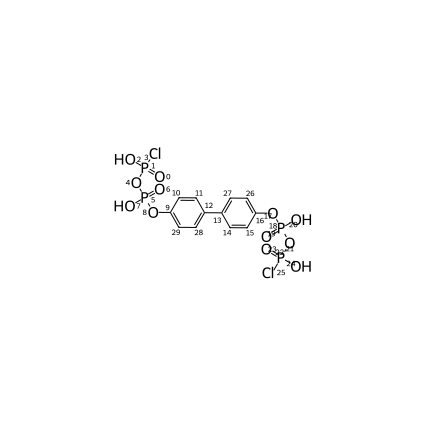 O=P(O)(Cl)OP(=O)(O)Oc1ccc(-c2ccc(OP(=O)(O)OP(=O)(O)Cl)cc2)cc1